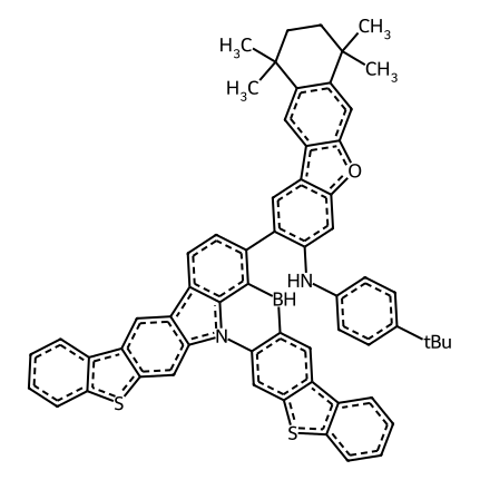 CC(C)(C)c1ccc(Nc2cc3oc4cc5c(cc4c3cc2-c2ccc3c4cc6c(cc4n4c3c2Bc2cc3c(cc2-4)sc2ccccc23)sc2ccccc26)C(C)(C)CCC5(C)C)cc1